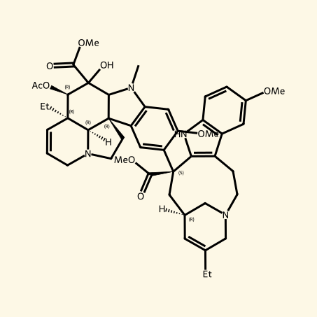 CCC1=C[C@@H]2CN(CCc3c([nH]c4ccc(OC)cc34)[C@@](C(=O)OC)(c3cc4c(cc3OC)N(C)C3C(O)(C(=O)OC)[C@H](OC(C)=O)[C@]5(CC)C=CCN6CC[C@]43[C@@H]65)C2)C1